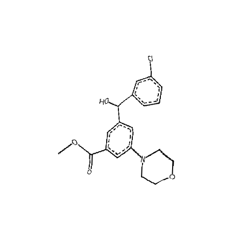 COC(=O)c1cc(C(O)c2cccc(Cl)c2)cc(N2CCOCC2)c1